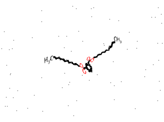 CCCCCCCCCCCCCOC(=O)c1cccc(C(=O)OCCCCCCCCCCCCC)c1